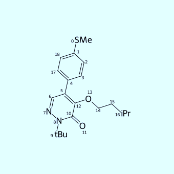 CSc1ccc(-c2cnn(C(C)(C)C)c(=O)c2OCCC(C)C)cc1